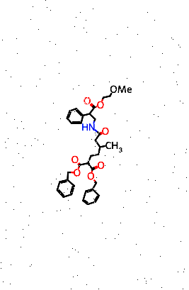 COCCOC(=O)C(CNC(=O)CC(C)CCC(C(=O)OCc1ccccc1)C(=O)OCc1ccccc1)c1ccccc1